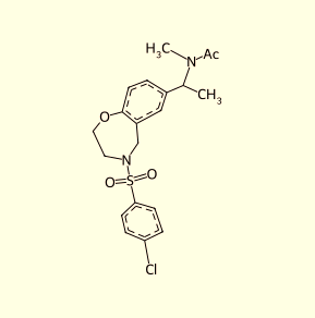 CC(=O)N(C)C(C)c1ccc2c(c1)CN(S(=O)(=O)c1ccc(Cl)cc1)CCO2